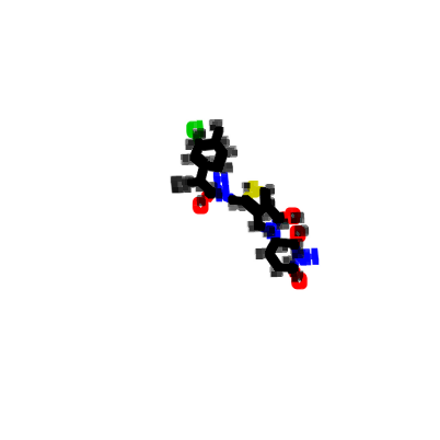 CCC(C(=O)NCc1scc2c1CN(C1CCC(=O)NC1=O)C2=O)c1ccc(C)c(Cl)c1